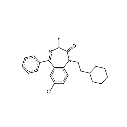 O=C1C(F)N=C(c2ccccc2)c2cc(Cl)ccc2N1CCC1CCCCC1